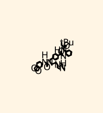 CN1CCN(CCN(Cc2ccc(C(=O)Nc3ccccc3NC(=O)CC(C)(C)C)cc2)C(=O)Nc2ccc3c(c2)OCO3)CC1